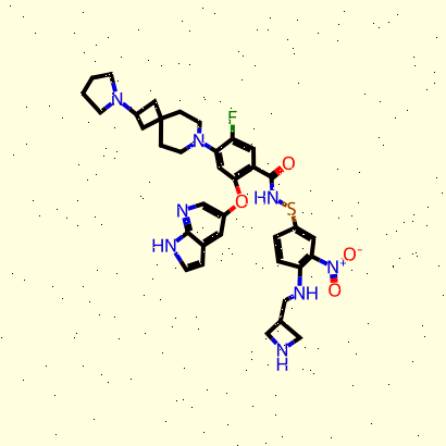 O=C(NSc1ccc(NCC2CNC2)c([N+](=O)[O-])c1)c1cc(F)c(N2CCC3(CC2)CC(N2CCCC2)C3)cc1Oc1cnc2[nH]ccc2c1